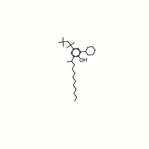 CCCCCCCCCCC(C)c1cc(C(C)(C)CC(C)(C)C)cc(C2CCCCC2)c1O